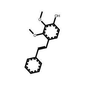 COc1c(O)ccc(C=Cc2ccccc2)c1OC